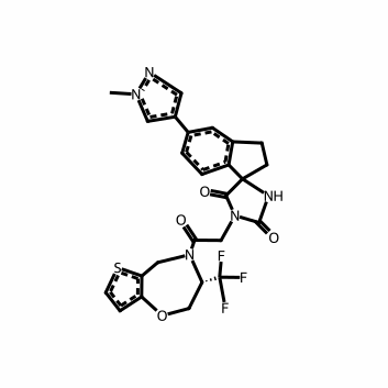 Cn1cc(-c2ccc3c(c2)CCC32NC(=O)N(CC(=O)N3Cc4sccc4OC[C@H]3C(F)(F)F)C2=O)cn1